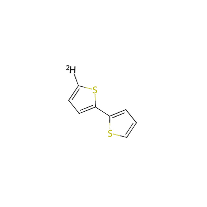 [2H]c1ccc(-c2cccs2)s1